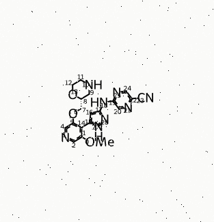 COc1cncc(OC[C@H]2CNCCO2)c1-c1cc(Nc2cnc(C#N)cn2)n[nH]1